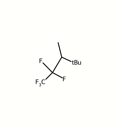 CC(C(C)(C)C)C(F)(F)C(F)(F)F